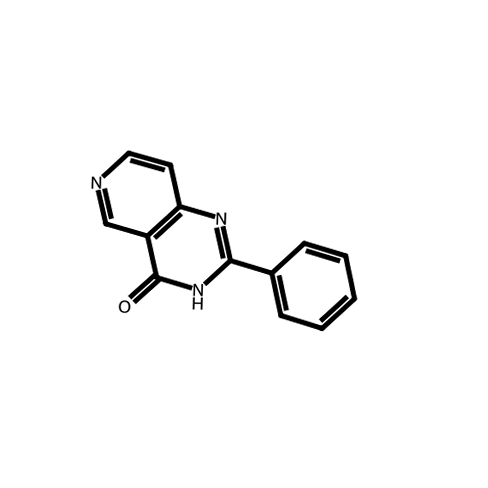 O=c1[nH]c(-c2ccccc2)nc2ccncc12